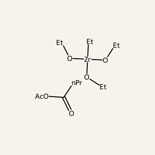 CCCC(=O)OC(C)=O.CC[O][Zr]([CH2]C)([O]CC)[O]CC